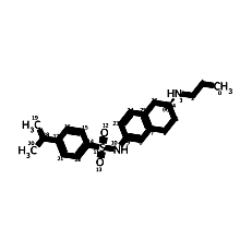 CCCN[C@@H]1CCc2cc(NS(=O)(=O)c3ccc(C(C)C)cc3)ccc2C1